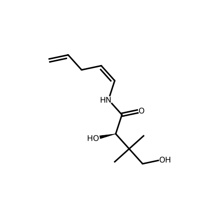 C=CC/C=C\NC(=O)[C@H](O)C(C)(C)CO